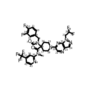 CN(C(=O)C1(N(C=O)Cc2ccc(F)c(F)c2)CCN(c2cnc3cnn(CC(F)F)c3n2)CC1)c1cc(C(F)(F)F)ccn1